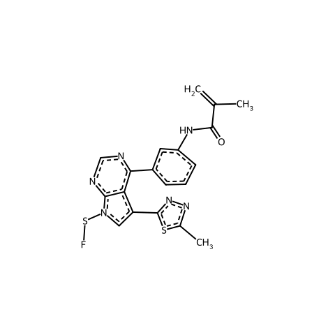 C=C(C)C(=O)Nc1cccc(-c2ncnc3c2c(-c2nnc(C)s2)cn3SF)c1